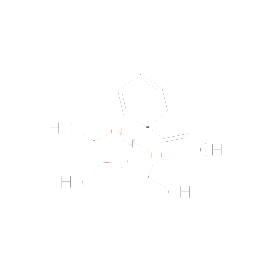 CC=CC1([Si](OCC)(OCC)OCC)C=CC=CC1